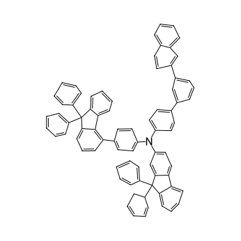 C1=CCC(C2(c3ccccc3)c3ccccc3-c3ccc(N(c4ccc(-c5cccc(-c6ccc7ccccc7c6)c5)cc4)c4ccc(-c5cccc6c5-c5ccccc5C6(c5ccccc5)c5ccccc5)cc4)cc32)C=C1